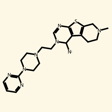 CN1CCc2c(sc3c2C([N])N(CCN2CCN(c4ncccn4)CC2)C=N3)C1